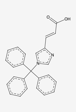 O=C(O)C=Cc1cn(C(c2ccccc2)(c2ccccc2)c2ccccc2)cn1